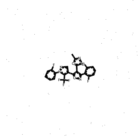 Cc1nnc(-c2c(-c3c(F)cccc3Cl)noc2-c2cnn(-c3ccccc3F)c2C(F)(F)F)o1